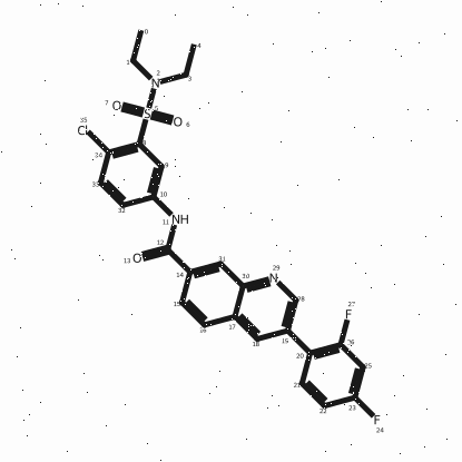 CCN(CC)S(=O)(=O)c1cc(NC(=O)c2ccc3cc(-c4ccc(F)cc4F)cnc3c2)ccc1Cl